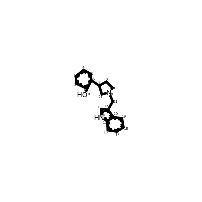 Oc1ccccc1C1CCN(Cc2c[nH]c3ccccc23)C1